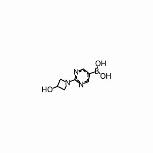 OB(O)c1cnc(N2CC(O)C2)nc1